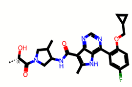 Cc1[nH]c2c(-c3cc(F)ccc3OCC3CC3)ncnc2c1C(=O)NC1CN(C(=O)[C@H](C)O)CC1C